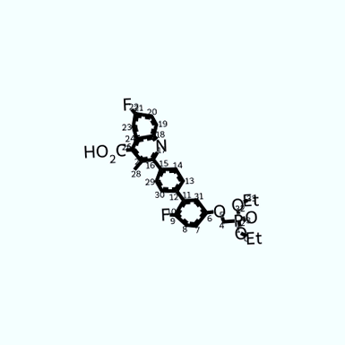 CCOP(=O)(COc1ccc(F)c(-c2ccc(-c3nc4ccc(F)cc4c(C(=O)O)c3C)cc2)c1)OCC